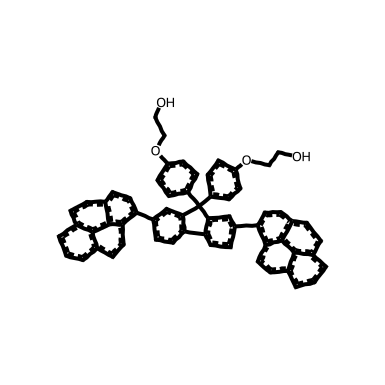 OCCOc1ccc(C2(c3ccc(OCCO)cc3)c3cc(-c4ccc5ccc6cccc7ccc4c5c67)ccc3-c3ccc(-c4ccc5ccc6cccc7ccc4c5c67)cc32)cc1